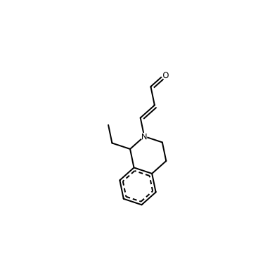 CCC1c2ccccc2CCN1C=CC=O